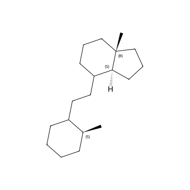 C[C@H]1CCCCC1CCC1CCC[C@]2(C)CCC[C@@H]12